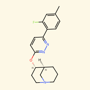 Cc1ccc(-c2ccc(O[C@H]3CCN4CCC[C@H]3C4)nn2)c(F)c1